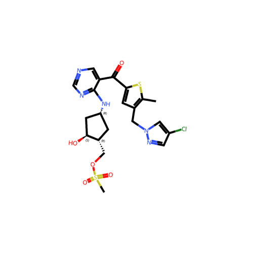 Cc1sc(C(=O)c2cncnc2N[C@@H]2C[C@H](COS(C)(=O)=O)[C@@H](O)C2)cc1Cn1cc(Cl)cn1